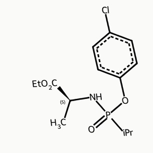 CCOC(=O)[C@H](C)NP(=O)(Oc1ccc(Cl)cc1)C(C)C